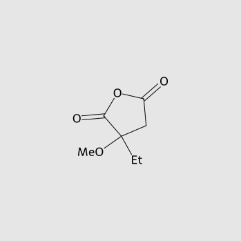 CCC1(OC)CC(=O)OC1=O